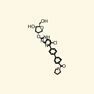 O=C(c1ccc(-c2ccc(-c3nc4nc(O[C@H]5CO[C@H](CO)[C@@H](O)C5)[nH]c4cc3Cl)cc2)cc1)N1CCCC1